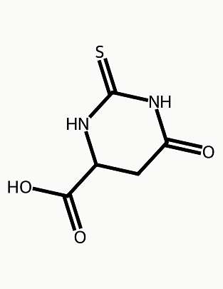 O=C1CC(C(=O)O)NC(=S)N1